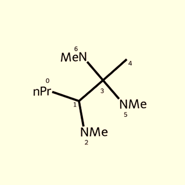 CCCC(NC)C(C)(NC)NC